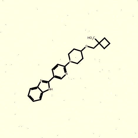 O=C(O)C1(COC2CCN(c3ccc(-c4nc5ccccc5[nH]4)cn3)CC2)CCC1